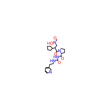 O=CN(O)CC(C(=O)N1CCC[C@H]1C(=O)NC(=O)NCCc1cccnc1)C1CCCC1